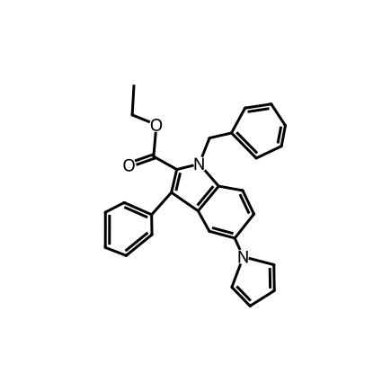 CCOC(=O)c1c(-c2ccccc2)c2cc(-n3cccc3)ccc2n1Cc1ccccc1